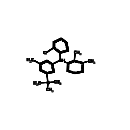 Cc1cc([SiH](c2ccccc2Cl)c2cccc(C)c2C)cc([Si](C)(C)C)c1